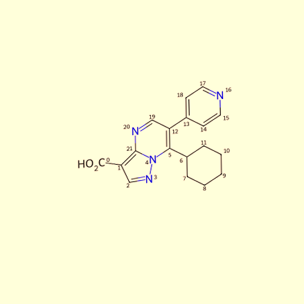 O=C(O)c1cnn2c(C3CCCCC3)c(-c3ccncc3)cnc12